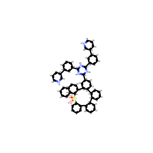 O=S1(=O)c2ccccc2-c2ccccc2-c2ccccc2-c2ccc(-c3nc(-c4cccc(-c5cccnc5)c4)nc(-c4cccc(-c5cccnc5)c4)n3)cc2-c2ccc3ccccc3c21